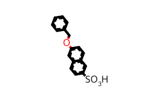 O=S(=O)(O)c1ccc2cc(OCc3ccccc3)ccc2c1